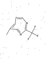 CC1=C\C=C/N=C(C(F)(F)F)\N=C\1